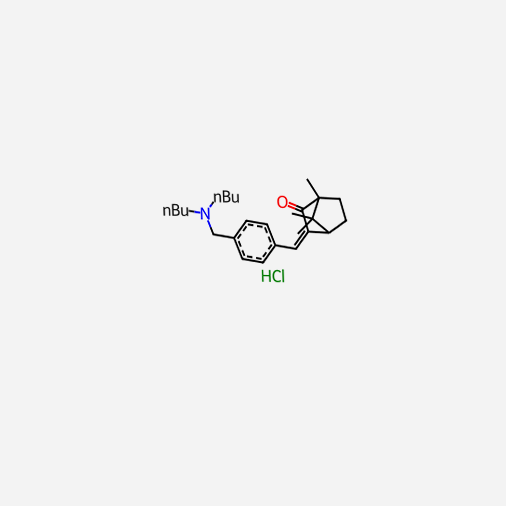 CCCCN(CCCC)Cc1ccc(C=C2C(=O)C3(C)CCC2C3(C)C)cc1.Cl